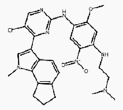 COc1cc(NCCN(C)C)c([N+](=O)[O-])cc1Nc1ncc(Cl)c(-c2cn(C)c3c4c(ccc23)CCC4)n1